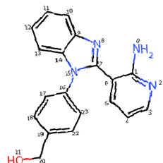 Nc1ncccc1-c1nc2ccccc2n1-c1ccc(CO)cc1